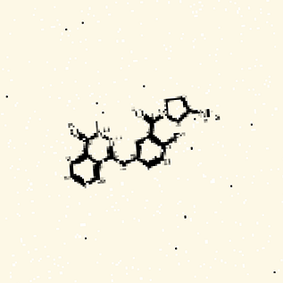 NC1CCN(C(=O)c2cc(Cc3n[nH]c(=O)c4ccccc34)ccc2F)C1